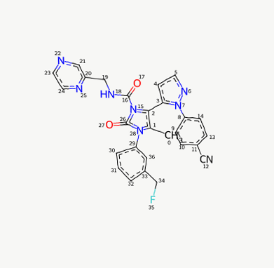 Cc1c(-c2ccnn2-c2ccc(C#N)cc2)n(C(=O)NCc2cnccn2)c(=O)n1-c1cccc(CF)c1